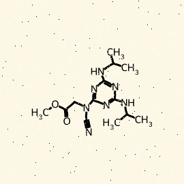 COC(=O)CN(C#N)c1nc(NC(C)C)nc(NC(C)C)n1